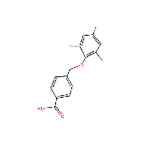 O=C(O)c1ccc(COc2c(I)cc(I)cc2I)cc1